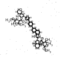 COC(=O)N[C@H](C(=O)N1C[C@]2(CCCOC2)C[C@H]1c1ncc(-c2ccc(-c3ccc4c(ccc5nc([C@@H]6C[C@@H]7CCCC[C@@H]7N6C(=O)[C@@H](NC(=O)OC)C(C)C)[nH]c54)c3)cc2)[nH]1)C(C)C